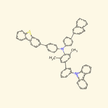 Cc1cc(-c2cccc(-n3c4ccccc4c4ccccc43)c2)cc(C)c1N(c1ccc(-c2ccc3ccccc3c2)cc1)c1ccc(-c2ccc3c(c2)sc2ccccc23)cc1